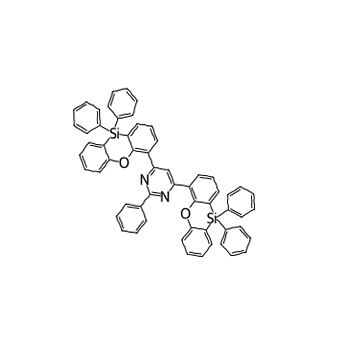 c1ccc(-c2nc(-c3cccc4c3Oc3ccccc3[Si]4(c3ccccc3)c3ccccc3)cc(-c3cccc4c3Oc3ccccc3[Si]4(c3ccccc3)c3ccccc3)n2)cc1